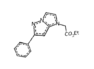 CCOC(=O)Cn1ccn2nc(-c3ccccc3)cc12